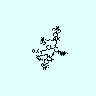 CC(CCc1cccc(C2=C(/C=C/C3=[N+](CCCCS(=O)(=O)[O-])c4ccc(S(=O)(=O)[O-])cc4C3(C)C)CCC/C2=C\C=C2/N(CCCCS(=O)(=O)[O-])c3ccc(S(=O)(=O)[O-])cc3C2(C)C)c1)C(=O)O.[Na+].[Na+].[Na+]